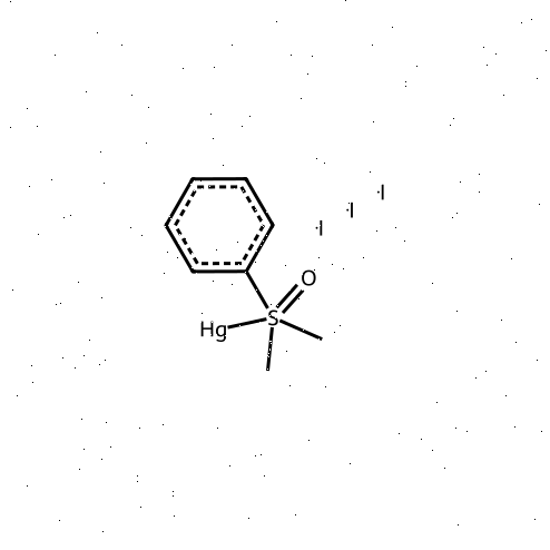 C[S](C)(=O)([Hg])c1ccccc1.[I].[I].[I]